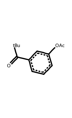 CC(=O)Oc1cccc(C(=O)C(C)(C)C)c1